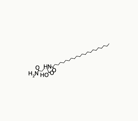 CCCCCCCCCCCCCCCCCCCCCC(=O)N[C@@H](CCC(N)=O)C(=O)O